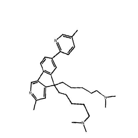 Cc1ccc(-c2ccc3c(c2)C(CCCCCN(C)C)(CCCCCN(C)C)c2cc(C)ncc2-3)nc1